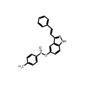 Cc1ccc([PH](=O)Oc2ccc3[nH]nc(C=Cc4ccccc4)c3c2)cc1